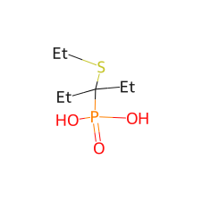 CCSC(CC)(CC)P(=O)(O)O